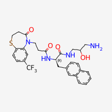 NCC(O)CNC(=O)[C@@H](Cc1ccc2ccccc2c1)NC(=O)CCN1C(=O)CCSc2ccc(C(F)(F)F)cc21